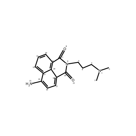 CN(C)CCCN1C(=O)c2cccc3c(N)ccc(c23)C1=O